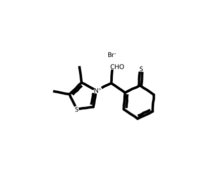 Cc1sc[n+](C(C=O)C2=CC=CCC2=S)c1C.[Br-]